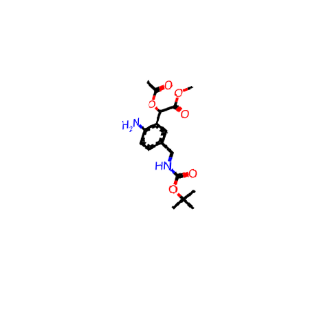 COC(=O)C(OC(C)=O)c1cc(CNC(=O)OC(C)(C)C)ccc1N